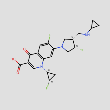 O=C(O)c1cn([C@@H]2C[C@@H]2F)c2cc(N3C[C@H](CNC4CC4)[C@H](F)C3)c(F)cc2c1=O